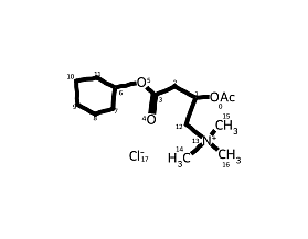 CC(=O)OC(CC(=O)OC1CCCCC1)C[N+](C)(C)C.[Cl-]